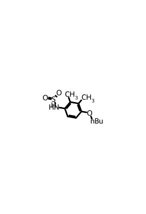 CCCCOc1ccc(N[SH](=O)=O)c(C)c1C